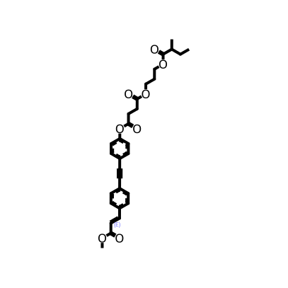 CCC(C)C(=O)OCCCOC(=O)CCC(=O)Oc1ccc(C#Cc2ccc(/C=C/C(=O)OC)cc2)cc1